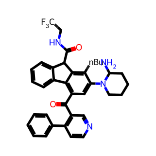 CCCCc1c(N2CCCCC2N)cc(C(=O)c2cnccc2-c2ccccc2)c2c1C(C(=O)NCC(F)(F)F)c1ccccc1-2